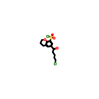 O=C(CCCCCl)c1cc2c(c(S(=O)(=O)Cl)c1)OCCC2